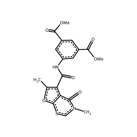 COC(=O)c1cc(NC(=O)c2c(C)oc3ncn(C)c(=O)c23)cc(C(=O)OC)c1